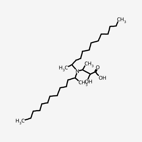 CCCCCCCCCCCC(C)N(C(C)CCCCCCCCCCC)C(C)C(O)C(=O)O